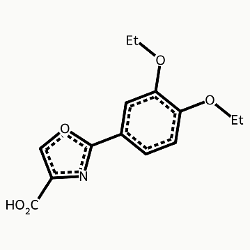 CCOc1ccc(-c2nc(C(=O)O)co2)cc1OCC